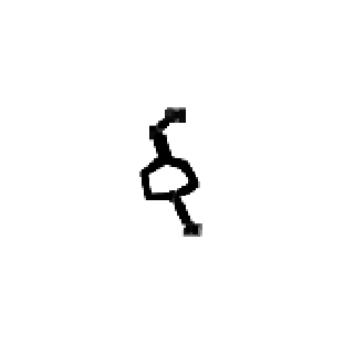 CC(=O)N1CCC(=NO)CC1